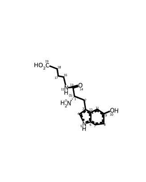 N[C@@H](Cc1c[nH]c2ccc(O)cc12)C(=O)NCCCC(=O)O